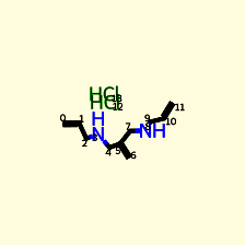 C=CCNCC(=C)CNCC=C.Cl.Cl